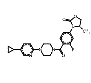 C[C@@H]1COC(=O)N1c1ccc(C(=O)N2CCN(c3ccc(C4CC4)cn3)CC2)c(F)c1